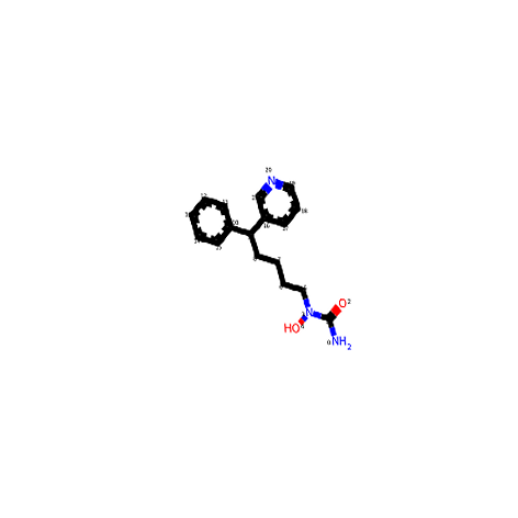 NC(=O)N(O)CCCCC(c1ccccc1)c1cccnc1